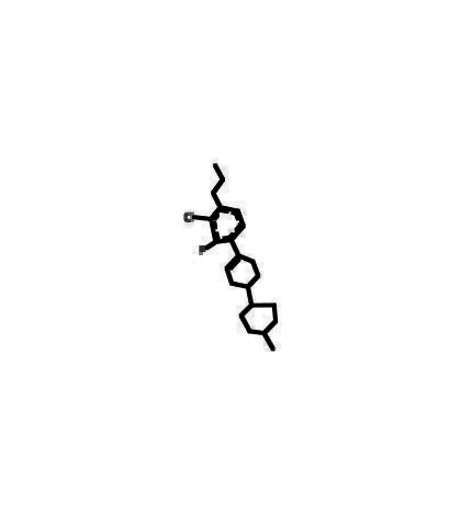 CCCc1ccc(C2=CCC(C3CCC(C)CC3)CC2)c(F)c1Cl